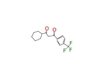 O=C(CC(=O)C1CCCCC1)c1ccc(C(F)(F)F)cc1